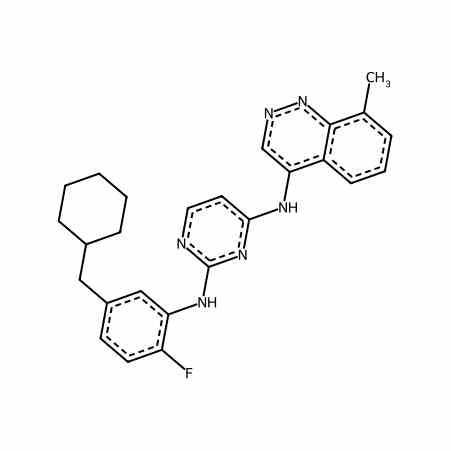 Cc1cccc2c(Nc3ccnc(Nc4cc(CC5CCCCC5)ccc4F)n3)cnnc12